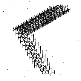 O=C(O)O.O=C(O)O.O=C(O)O.O=C(O)O.O=C(O)O.O=C(O)O.O=C(O)O.O=C(O)O.O=C(O)O.O=C(O)O.O=C(O)O.O=C(O)O.O=C(O)O.O=C(O)O.O=C(O)O.O=C(O)O.O=C(O)O.O=C(O)O.O=C(O)O.O=C(O)O.O=C(O)O.O=C(O)O.O=C(O)O.O=C(O)O.O=C(O)O.O=C(O)O.O=C(O)O.O=C(O)O.O=C(O)O.O=C(O)O.O=C(O)O.O=C(O)O.O=C(O)O.O=C([O-])O.O=C([O-])O.[Na+].[Na+]